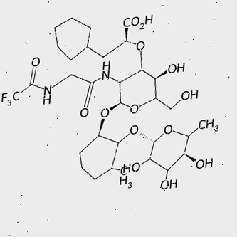 CC1CCC[C@@H](O[C@@H]2OC(CO)[C@H](O)C(O[C@@H](CC3CCCCC3)C(=O)O)C2NC(=O)CNC(=O)C(F)(F)F)C1O[C@@H]1OC(C)[C@@H](O)C(O)C1O